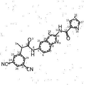 CC(C(=O)Nc1ccc2nc(NC(=O)c3cscn3)sc2c1)c1cc(C#N)cc(C#N)c1